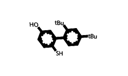 CC(C)(C)c1ccc(-c2cc(O)ccc2S)c(C(C)(C)C)c1